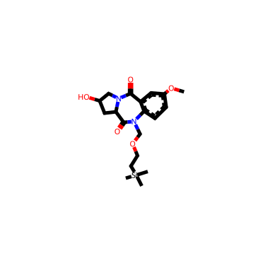 COc1ccc2c(c1)C(=O)N1CC(O)CC1C(=O)N2COCC[Si](C)(C)C